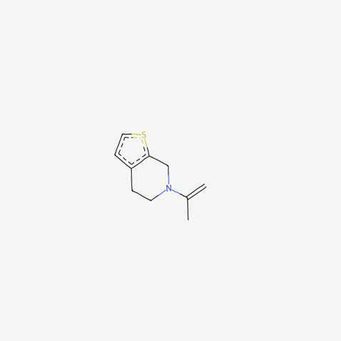 C=C(C)N1CCc2ccsc2C1